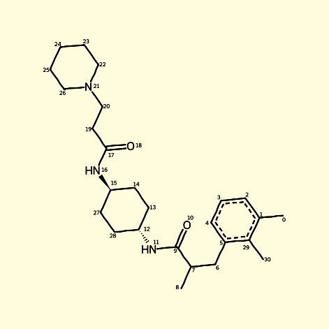 Cc1cccc(CC(C)C(=O)N[C@H]2CC[C@H](NC(=O)CCN3CCCCC3)CC2)c1C